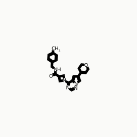 Cc1ccc(CNC(=O)C2CN(c3ncnn4cc(C5=CCOCC5)cc34)C2)cc1